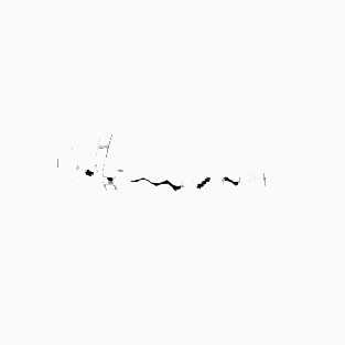 CC(C)(C)NC(=O)OCCCCCOCCOCCO